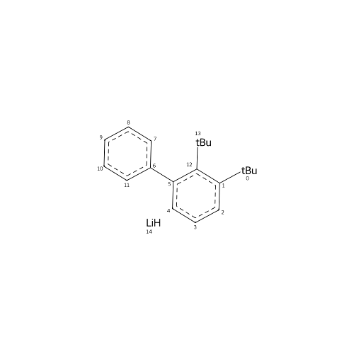 CC(C)(C)c1cccc(-c2ccccc2)c1C(C)(C)C.[LiH]